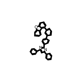 c1ccc(-c2cc(-c3ccccc3)nc(-c3ccc(-c4cccc(-c5cccc6oc7ccccc7c56)c4)cc3)n2)cc1